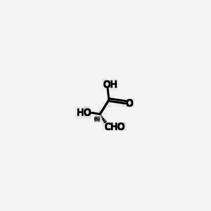 O=C[C@H](O)C(=O)O